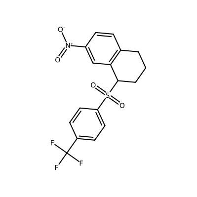 O=[N+]([O-])c1ccc2c(c1)C(S(=O)(=O)c1ccc(C(F)(F)F)cc1)CCC2